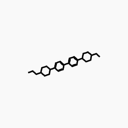 CCCC1CCC(c2ccc(-c3ccc(C4CCC(CC)CC4)cc3)cc2)CC1